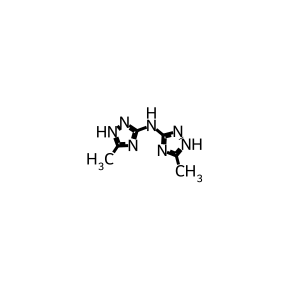 Cc1nc(Nc2n[nH]c(C)n2)n[nH]1